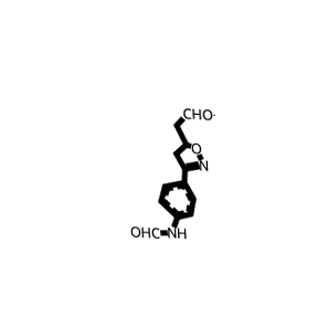 O=[C]CC1CC(c2ccc(NC=O)cc2)=NO1